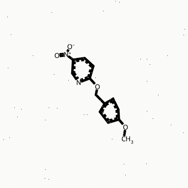 COc1ccc(COc2ccc([N+](=O)[O-])cn2)cc1